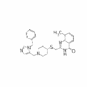 Cc1cccc2c(=O)[nH]c(CSC3CCN(Cc4cncn4Cc4ccccc4)CC3)nc12